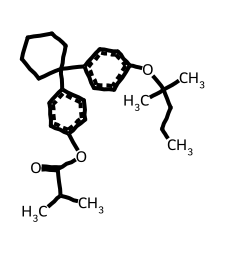 CCCC(C)(C)Oc1ccc(C2(c3ccc(OC(=O)C(C)C)cc3)CCCCC2)cc1